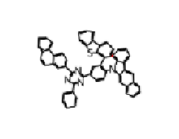 c1ccc(-c2nc(-c3ccc(-n4c5ccccc5c5cc6ccccc6cc54)c(-c4cccc5c4sc4ccccc45)c3)nc(-c3ccc4c(ccc5ccccc54)c3)n2)cc1